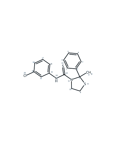 CC1(c2ccccc2)SCCN1C(=S)Nc1cccc(Cl)c1